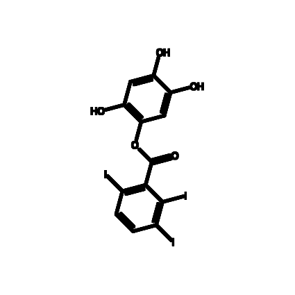 O=C(Oc1cc(O)c(O)cc1O)c1c(I)ccc(I)c1I